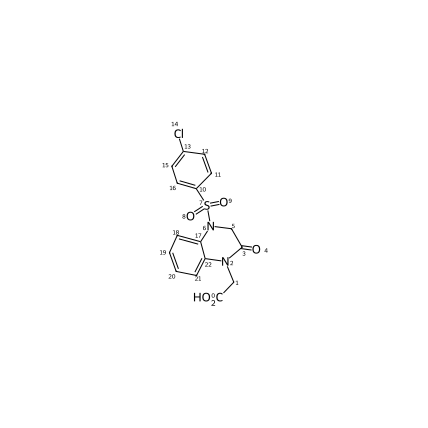 O=C(O)CN1C(=O)CN(S(=O)(=O)c2ccc(Cl)cc2)c2ccccc21